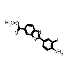 COC(=O)c1ccc2nc(-c3ccc(N)c(I)c3)sc2c1